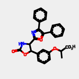 CC(Oc1cccc(C2OC(=O)NC2c2nc(-c3ccccc3)c(-c3ccccc3)o2)c1)C(=O)O